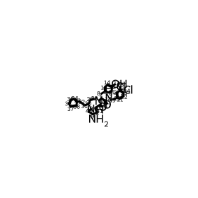 N[C@@H]1C[C@H]2C(=O)N([C@H](Cc3ccc(O)cc3)C(=O)NCc3ccc(Cl)c(Cl)c3)CCC(CCc3ccccc3)N2C1